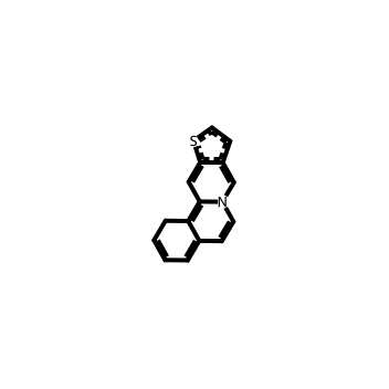 C1=CCC2=C3C=c4sccc4=CN3C=CC2=C1